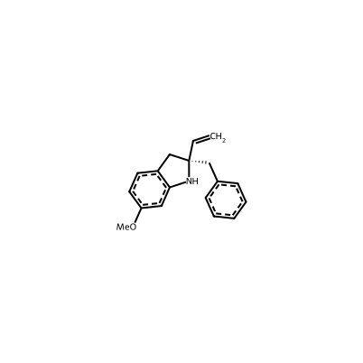 C=C[C@]1(Cc2ccccc2)Cc2ccc(OC)cc2N1